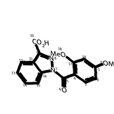 COc1ccc(C(=O)n2nc(C(=O)O)c3ccccc32)c(OC)c1